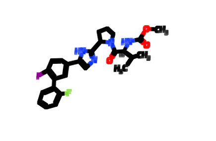 COC(=O)N[C@H](C(=O)N1CCCC1c1ncc(-c2ccc(I)c(-c3ccccc3F)c2)[nH]1)C(C)C